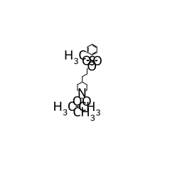 Cc1ccccc1S(=O)(=O)OCCCC1CCN(C(=O)OC(C)(C)C)CC1